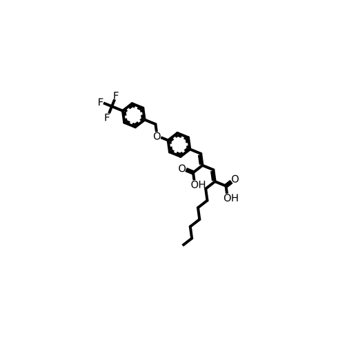 CCCCCCCC(=CC(=Cc1ccc(OCc2ccc(C(F)(F)F)cc2)cc1)C(=O)O)C(=O)O